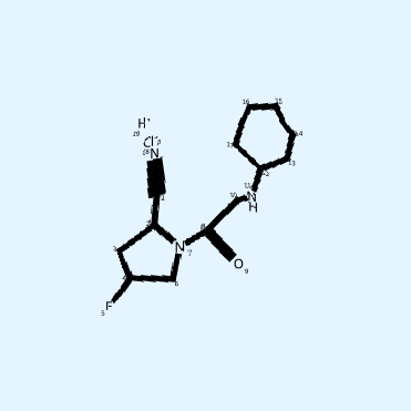 N#CC1CC(F)CN1C(=O)CNC1CCCCC1.[Cl-].[H+]